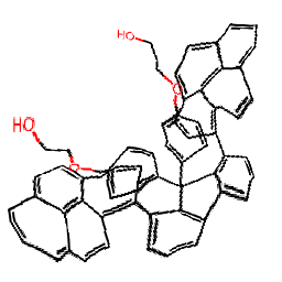 OCCOc1ccc(C2(c3ccc(OCCO)cc3)c3c(cccc3-c3ccc4ccc5cccc6ccc3c4c56)-c3cccc(-c4ccc5ccc6cccc7ccc4c5c67)c32)cc1